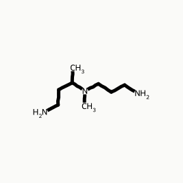 CC(CCN)N(C)CCCN